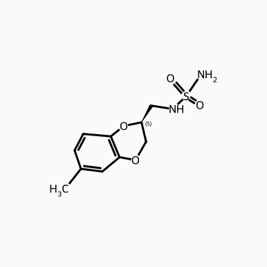 Cc1ccc2c(c1)OC[C@H](CNS(N)(=O)=O)O2